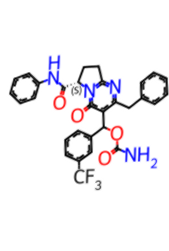 NC(=O)OC(c1cccc(C(F)(F)F)c1)c1c(Cc2ccccc2)nc2n(c1=O)[C@H](C(=O)Nc1ccccc1)CC2